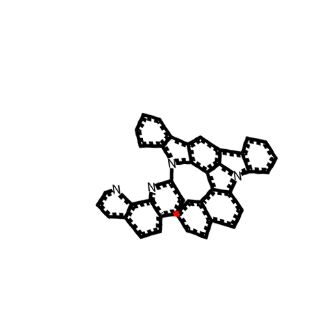 c1ccc2c(c1)ccc1c2c2c3c(cc4c5ccccc5n1c42)c1ccccc1n3-c1ccc2ccc3cccnc3c2n1